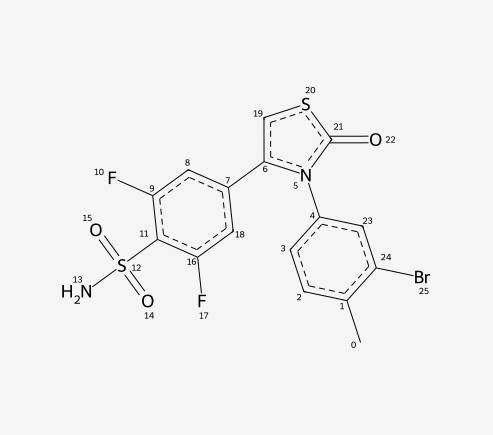 Cc1ccc(-n2c(-c3cc(F)c(S(N)(=O)=O)c(F)c3)csc2=O)cc1Br